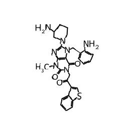 Cn1c(=O)n(CC(=O)c2csc3ccccc23)c(=O)c2c1nc(N1CCCC(N)C1)n2Cc1ccccc1N